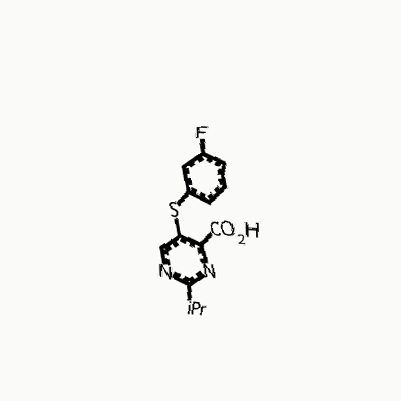 CC(C)c1ncc(Sc2cccc(F)c2)c(C(=O)O)n1